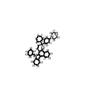 C1=CC(c2ccccc2)(c2ccc(N3CCOCC3)cc2)Oc2c1c1c(c3ccccc23)c2ccccc2n1-c1ccccc1